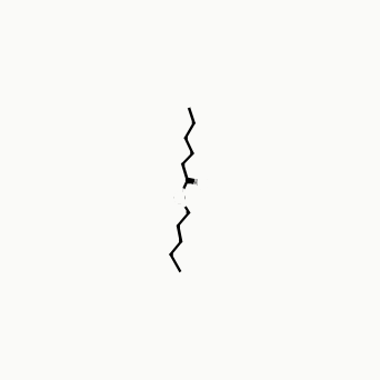 CCCC[CH]C(=O)OCCCCC